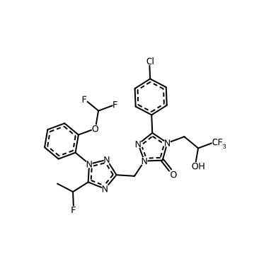 CC(F)c1nc(Cn2nc(-c3ccc(Cl)cc3)n(CC(O)C(F)(F)F)c2=O)nn1-c1ccccc1OC(F)F